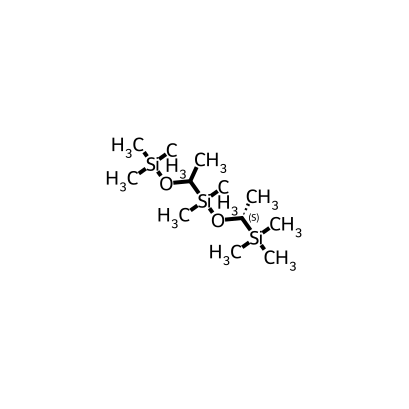 CC(O[Si](C)(C)C)[Si](C)(C)O[C@H](C)[Si](C)(C)C